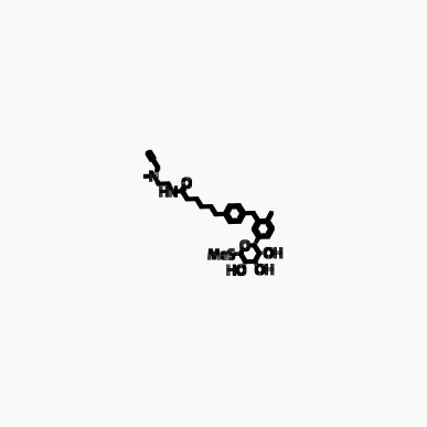 C#CCN(C)CCNC(=O)CCCCCc1ccc(Cc2cc([C@@H]3O[C@H](SC)[C@@H](O)[C@H](O)[C@H]3O)ccc2C)cc1